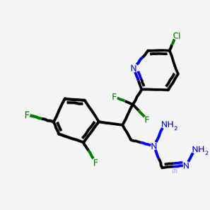 N/N=C\N(N)CC(c1ccc(F)cc1F)C(F)(F)c1ccc(Cl)cn1